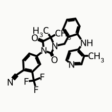 Cc1cnccc1Nc1ccccc1CN1C(=O)N(c2ccc(C#N)c(C(F)(F)F)c2)C(=O)C1(C)C